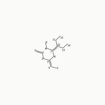 C=CC/C(=C/C)CC(CC)=C(CC)CC